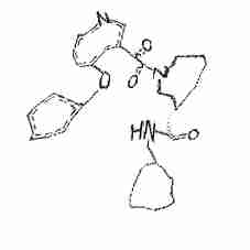 O=C(NC1CCCCC1)[C@H]1CCCN(S(=O)(=O)c2cnccc2Oc2ccccc2)C1